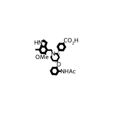 COc1cc(C)c2[nH]ccc2c1CN1CC[C@H](Oc2ccccc2NC(C)=O)C[C@H]1c1ccc(C(=O)O)cc1